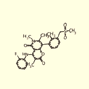 Cc1c(CS(C)(=O)=O)cccc1-c1c(C)n(C)c(=O)c2c(Nc3ccccc3F)c(C)c(=O)oc12